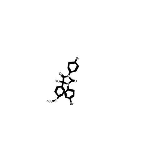 CCCCOc1ccc(C2(O)C(=O)N(c3ccc(Br)cc3)C(=O)N2c2ccc(Br)cc2)cc1